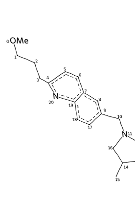 COCCCc1ccc2cc(CN3CCC(C)C3)ccc2n1